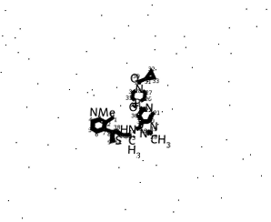 CNCc1ccccc1-c1csc([C@@H](C)Nc2nc(C)nc3cnc(P4(=O)CCN(C(=O)C5CC5)CC4)cc23)c1